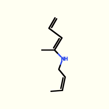 C=C/C=C(\C)NC/C=C\C